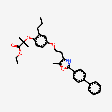 CCCc1cc(OCCc2nc(-c3ccc(-c4ccccc4)cc3)oc2C)ccc1OC(C)(C)C(=O)OCC